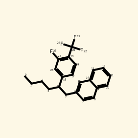 CCCCC(Cc1ccc2ccccc2c1)c1ccc(C(F)(F)F)c(F)c1